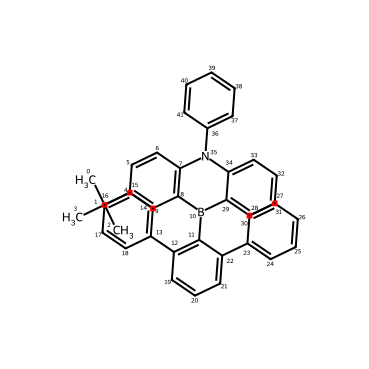 CC(C)(C)c1ccc2c(c1)B(c1c(-c3ccccc3)cccc1-c1ccccc1)c1ccccc1N2c1ccccc1